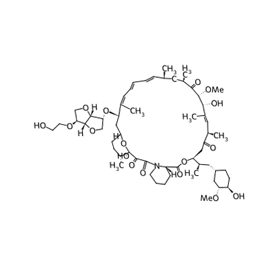 CO[C@@H]1C[C@H](C[C@@H](C)[C@@H]2CC(=O)[C@H](C)/C=C(\C)[C@@H](O)[C@@H](OC)C(=O)[C@H](C)C[C@H](C)/C=C/C=C/C=C(\C)[C@H](O[C@@H]3CO[C@H]4[C@@H]3OC[C@@H]4OCCO)C[C@@H]3CC[C@@H](C)[C@@](O)(O3)C(=O)C(=O)N3CCCC[C@H]3C(=O)O2)CC[C@H]1O